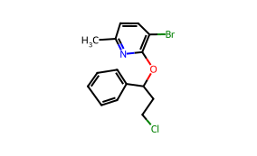 Cc1ccc(Br)c(OC(CCCl)c2ccccc2)n1